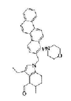 C1COCCN1.CCc1cn(Cc2ccc3c(ccc4c5ccccc5ccc34)c2)c2c1C(C=O)C(C)CC2